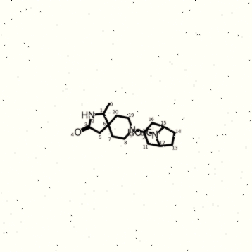 CC1NC(=O)CC12CCN(C1CC3CCC(C1)N3C(=O)O)CC2